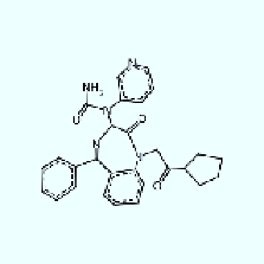 NC(=O)N(c1cccnc1)C1N=C(c2ccccc2)c2ccccc2N(CC(=O)C2CCCC2)C1=O